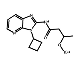 CC(CC(=O)Nc1nc2cccnc2n1C1CCC1)OC(C)(C)C